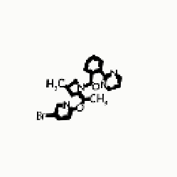 CC1CC(C(C)Oc2ccc(Br)cn2)N(C(=O)c2ccccc2-c2ncccn2)C1